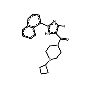 O=C(c1[nH]c(-c2cccc3ccccc23)nc1F)N1CCN(C2CCC2)CC1